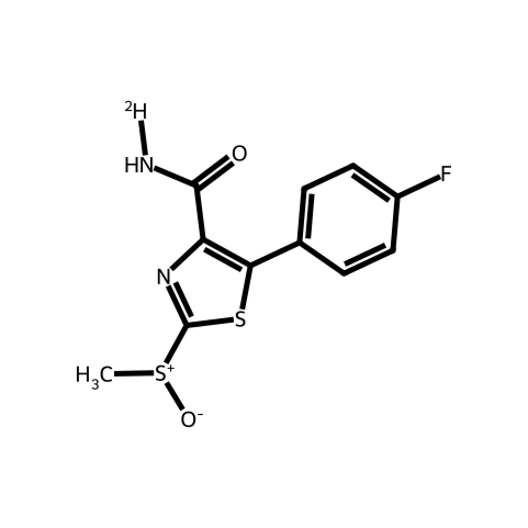 [2H]NC(=O)c1nc([S+](C)[O-])sc1-c1ccc(F)cc1